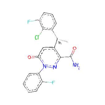 C[C@H](c1cc(=O)n(-c2ccccc2F)nc1C(N)=O)c1cccc(F)c1Cl